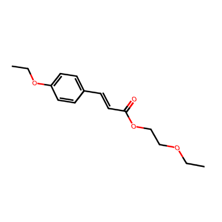 CCOCCOC(=O)C=Cc1ccc(OCC)cc1